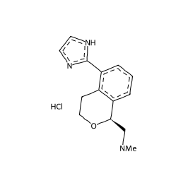 CNC[C@H]1OCCc2c(-c3ncc[nH]3)cccc21.Cl